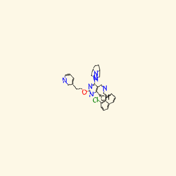 C#Cc1nc(OCCc2cccnc2)nc(N2CC3CCC(C2)N3)c1/C=N\Cc1cccc2cccc(Cl)c12